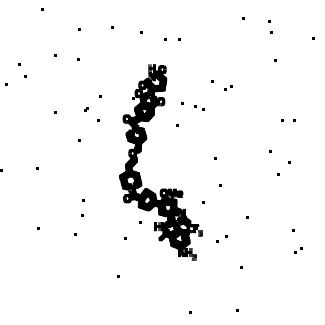 COc1cc2nc(C)nc(N[C@H](C)c3cc(N)cc(C(F)(F)F)c3)c2cc1C1CCC(C(=O)N2CCC(CCOCC3CCN(C(=O)c4ccc5c(c4)C(=O)N(C4CCC(=O)NC4=O)C5=O)CC3)CC2)CC1